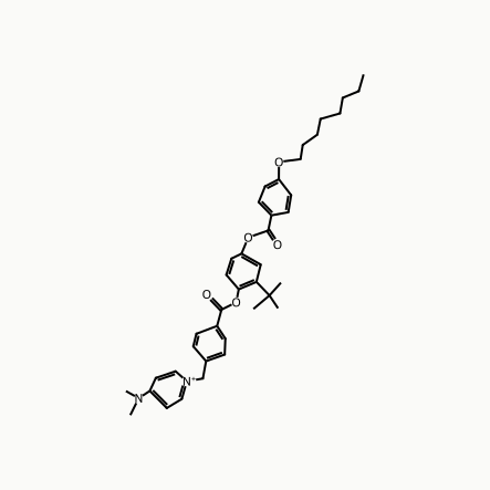 CCCCCCCCOc1ccc(C(=O)Oc2ccc(OC(=O)c3ccc(C[n+]4ccc(N(C)C)cc4)cc3)c(C(C)(C)C)c2)cc1